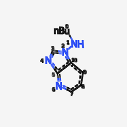 CCCCNn1cnc2ncccc21